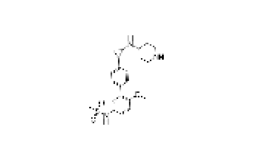 COc1ccc(NS(C)(=O)=O)cc1-c1ccc(C2CC2NC2CCNCC2)cc1